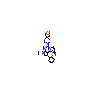 Clc1ccccc1-c1c[nH]c2nc(N3CCC4(CCOC4)CC3)n3ccnc3c12